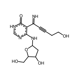 N=C(C#CCCO)c1c(NC2CC(O)C(CO)O2)nc[nH]c1=O